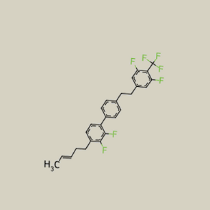 C/C=C/CCc1ccc(-c2ccc(CCc3cc(F)c(C(F)(F)F)c(F)c3)cc2)c(F)c1F